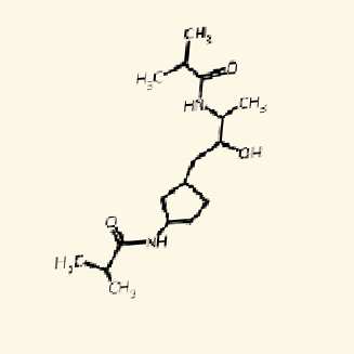 CC(C)C(=O)NC1CCC(CC(O)C(C)NC(=O)C(C)C)C1